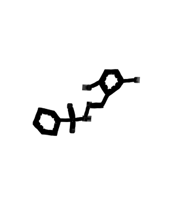 O=S(=O)(N/N=C/c1cc(Cl)ccc1O)c1ccccc1